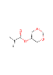 C=C(C)C(=O)OC1COCOC1